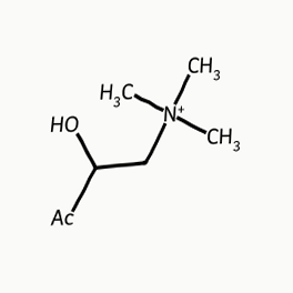 CC(=O)C(O)C[N+](C)(C)C